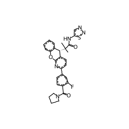 CC(C)(C(=O)Nc1cnns1)[C@H]1c2ccccc2Oc2nc(-c3ccc(C(=O)N4CCCC4)c(F)c3)ccc21